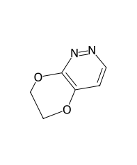 c1cc2c(nn1)OCCO2